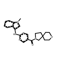 Cn1cc(Nc2ncc(C(=O)N3CCC4(CCOCC4)C3)cn2)c2ccccc21